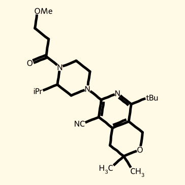 COCCC(=O)N1CCN(c2nc(C(C)(C)C)c3c(c2C#N)CC(C)(C)OC3)CC1C(C)C